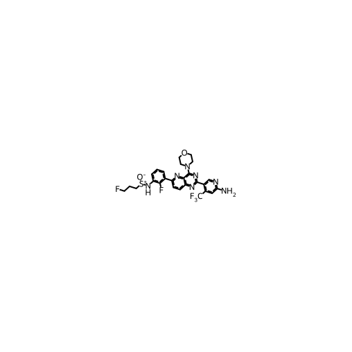 Nc1cc(C(F)(F)F)c(-c2nc(N3CCOCC3)c3nc(-c4cccc(N[S+]([O-])CCCF)c4F)ccc3n2)cn1